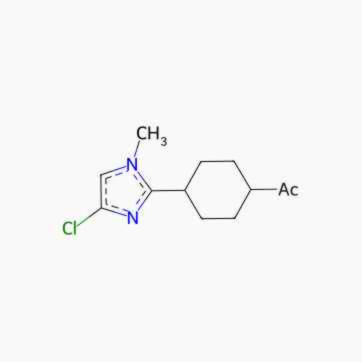 CC(=O)C1CCC(c2nc(Cl)cn2C)CC1